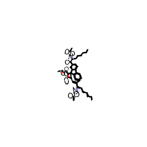 CCCCCC/C(=N\OC(C)=O)C(=O)c1ccc2c(c1)C1(C(C)C(=O)OCC)c3cc(ccc3-2)C(/C(CCCCCC)=N/OC(C)=O)=CC1C(=O)OCC